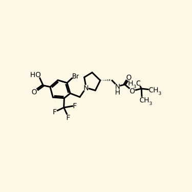 CC(C)(C)OC(=O)NC[C@H]1CCN(Cc2c(Br)cc(C(=O)O)cc2C(F)(F)F)C1